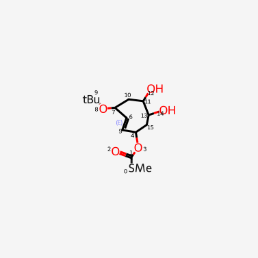 CSC(=O)OC1/C=C/C(OC(C)(C)C)CC(O)C(O)C1